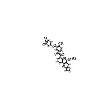 N#Cc1cnc(NC(=O)N2CCCc3cc(CN4CCCC4=O)c(C=O)nc32)cc1OC[C@@H]1CCNC(=O)C1